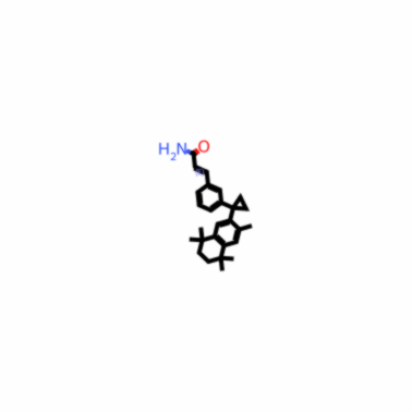 Cc1cc2c(cc1C1(c3cccc(/C=C/C(N)=O)c3)CC1)C(C)(C)CCC2(C)C